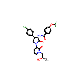 O=C(N[C@@H]1C(=O)N(c2cccn(CC(O)C(F)(F)F)c2=O)C[C@H]1c1ccc(Cl)cc1)c1ccc(OC(F)F)cc1